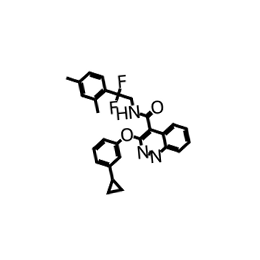 Cc1ccc(C(F)(F)CNC(=O)c2c(Oc3cccc(C4CC4)c3)nnc3ccccc23)c(C)c1